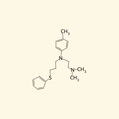 Cc1ccc(N(CCCSc2ccccc2)CCN(C)C)cc1